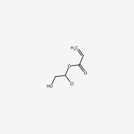 C=CC(=O)OC(Cl)CO